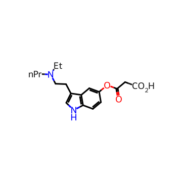 CCCN(CC)CCc1c[nH]c2ccc(OC(=O)CC(=O)O)cc12